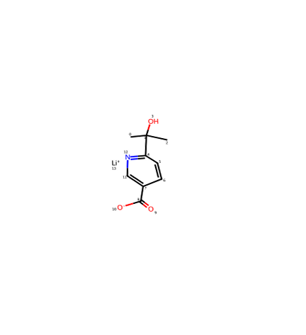 CC(C)(O)c1ccc(C(=O)[O-])cn1.[Li+]